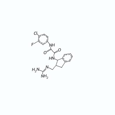 NC(N)=NCC1Cc2ccccc2C1NC(=O)C(=O)Nc1ccc(Cl)c(F)c1